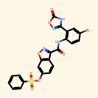 O=C(Nc1ccc(Br)cc1-c1noc(=O)[nH]1)c1noc2cc(OS(=O)(=O)c3ccccc3)ccc12